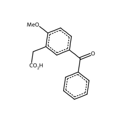 COc1ccc(C(=O)c2ccccc2)cc1CC(=O)O